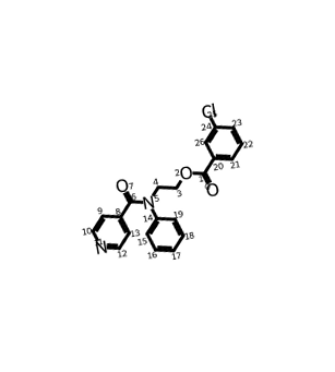 O=C(OCCN(C(=O)c1ccncc1)c1ccccc1)c1cccc(Cl)c1